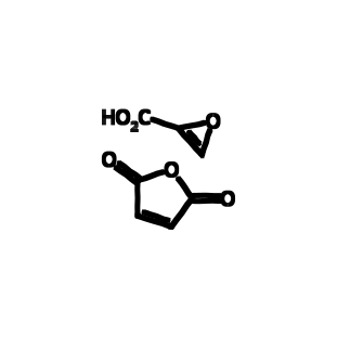 O=C(O)C1=CO1.O=C1C=CC(=O)O1